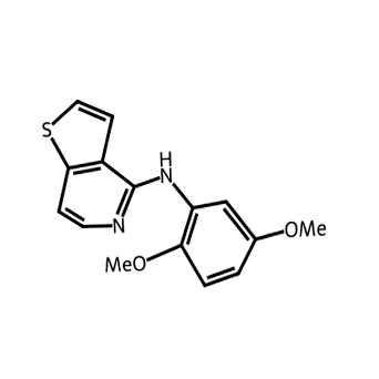 COc1ccc(OC)c(Nc2nccc3sccc23)c1